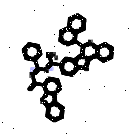 C=C(/N=C(\N=C(/N)c1ccc2sc3c4ccccc4nc(-c4cccc5ccccc45)c3c2c1)c1ccccc1)c1cccc2c1sc1ccccc12